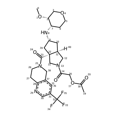 CO[C@@H]1COCC[C@@H]1N[C@@H]1C[C@H]2CN(C(=O)COC(C)=O)C[C@@]2(C(=O)N2CCc3ncc(C(F)(F)F)cc3C2)C1